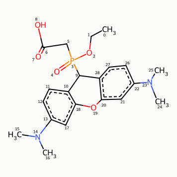 CCOP(=O)(CC(=O)O)C1c2ccc(N(C)C)cc2Oc2cc(N(C)C)ccc21